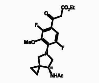 CCOC(=O)CC(=O)c1cc(F)c(N2C[C@@H](NC(C)=O)C3(CC3)C2)c(OC)c1F